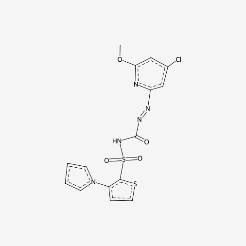 COc1cc(Cl)cc(N=NC(=O)NS(=O)(=O)c2sccc2-n2cccc2)n1